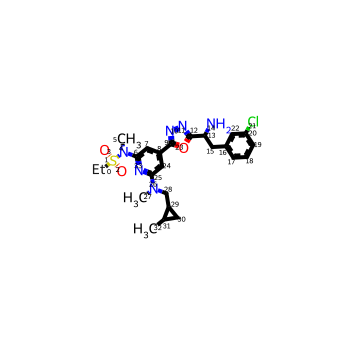 CCS(=O)(=O)N(C)c1cc(-c2nnc(C(N)Cc3cccc(Cl)c3)o2)cc(N(C)CC2CC2C)n1